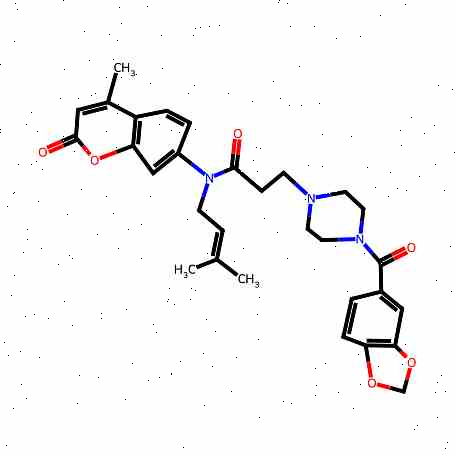 CC(C)=CCN(C(=O)CCN1CCN(C(=O)c2ccc3c(c2)OCO3)CC1)c1ccc2c(C)cc(=O)oc2c1